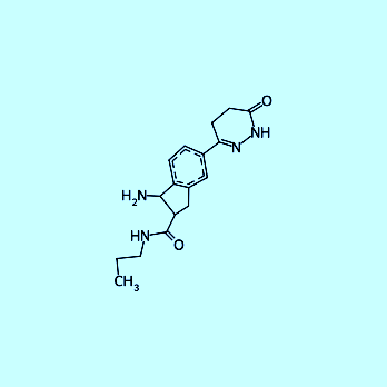 CCCNC(=O)C1Cc2cc(C3=NNC(=O)CC3)ccc2C1N